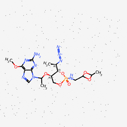 COc1nc(N)nc2c1ncn2C(C)O[C@@H]1COP(=O)(NCC2OC(C)O2)O[C@H]1[C@@H](C)N=[N+]=[N-]